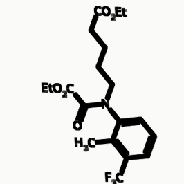 CCOC(=O)CCCCN(C(=O)C(=O)OCC)c1cccc(C(F)(F)F)c1C